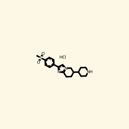 CS(=O)(=O)c1ccc(-c2cn3c(n2)CCC(C2CCNCC2)C3)cc1.Cl